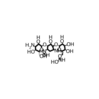 N[C@@H]1[C@@H](O)[C@@H](O[C@H]2[C@H](NO)C[C@H](N)C(O[C@H]3O[C@H](CONO)[C@@H](O)[C@H](O)[C@H]3O)[C@@H]2O)O[C@H](CO)[C@H]1O